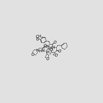 COc1ccc(C[C@H](NC(=O)[C@@H](NC(=O)CN2CCOCC2)C2COC2)C(=O)N[C@@H](CC2=CCCCC2)C(=O)[C@@]2(C)CO2)cc1